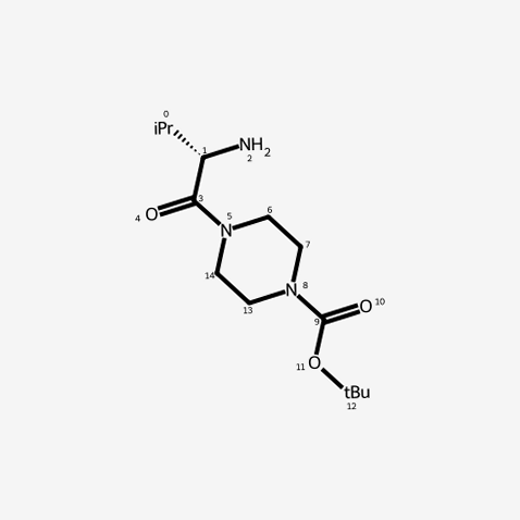 CC(C)[C@H](N)C(=O)N1CCN(C(=O)OC(C)(C)C)CC1